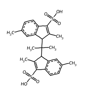 CC1=C(S(=O)(=O)O)c2ccc(C)cc2C1C(C)(C)C1C(C)=C(S(=O)(=O)O)c2ccc(C)cc21